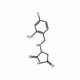 Nc1cc(F)ccc1CNC1CC(=O)NC1=O